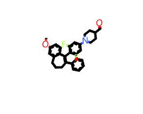 COc1ccc2c(c1)CCCC(c1ccccc1)=C2c1c(F)cc(N2CCC(C=O)CC2)cc1F